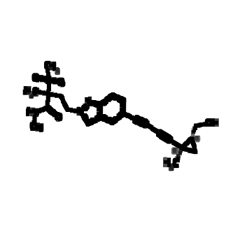 CC(CCn1cc2cc(C#CC#C[C@]3(C)C[C@H]3CO)ccc2n1)(C(=O)NO)S(C)(=O)=O